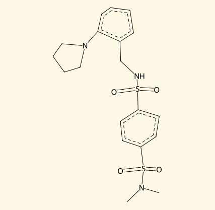 CN(C)S(=O)(=O)c1ccc(S(=O)(=O)NCc2ccccc2N2CCCC2)cc1